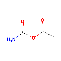 CC([O])OC(N)=O